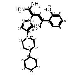 NC(N)=C(/C=C(\N)c1ccccc1O)n1cc(N2CCN(C3CCCCC3)CC2)cn1